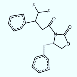 O=C(CC(c1ccccc1)C(F)F)N1C(=O)OC[C@@H]1Cc1ccccc1